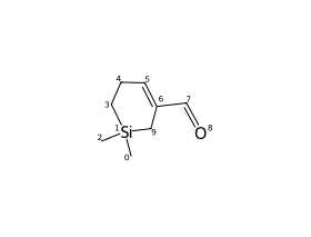 C[Si]1(C)CCC=C(C=O)C1